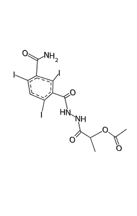 CC(=O)OC(C)C(=O)NNC(=O)c1c(I)cc(I)c(C(N)=O)c1I